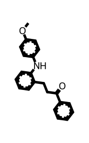 COc1ccc(Nc2ccccc2CCC(=O)c2ccccc2)cc1